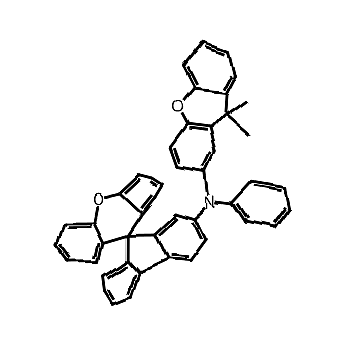 CC1(C)c2ccccc2Oc2ccc(N(c3ccccc3)c3ccc4c(c3)C3(c5ccccc5Oc5ccccc53)c3ccccc3-4)cc21